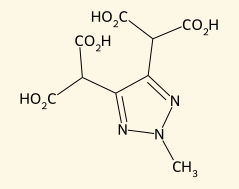 Cn1nc(C(C(=O)O)C(=O)O)c(C(C(=O)O)C(=O)O)n1